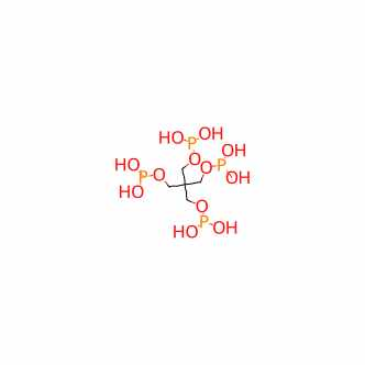 OP(O)OCC(COP(O)O)(COP(O)O)COP(O)O